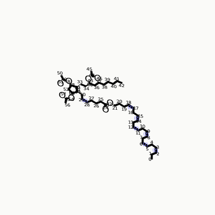 CC/C=C\C/C=C\C/C=C\C/C=C\C/C=C\C/C=C\CCCOC(=O)CCC/C=C\C[C@@H]1[C@@H](CC[C@H](CCCCCCC)OC(C)=O)[C@H](OC(C)=O)C[C@@H]1OC(C)=O